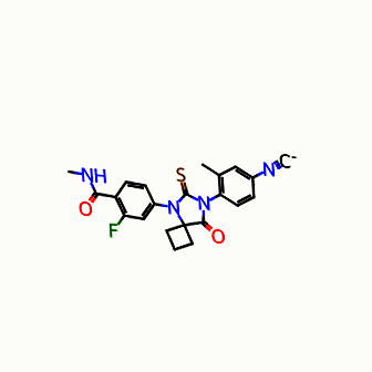 [C-]#[N+]c1ccc(N2C(=O)C3(CCC3)N(c3ccc(C(=O)NC)c(F)c3)C2=S)c(C)c1